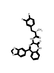 C[C@@H](Cc1ccc(F)c(F)c1)C(=O)NC1N=C(c2ccc3c(c2)OCO3)c2ccccc2NC1=O